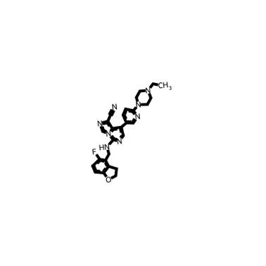 CCN1CCN(c2ccc(-c3cnc(NCc4c(F)ccc5c4CCO5)n4cnc(C#N)c34)cn2)CC1